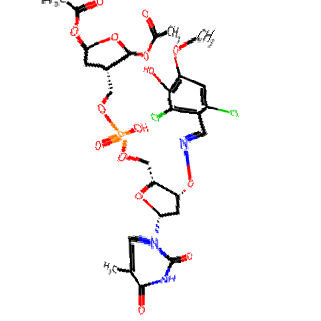 COc1cc(Cl)c(/C=N/O[C@@H]2C[C@H](n3cc(C)c(=O)[nH]c3=O)O[C@@H]2COP(=O)(O)OC[C@@H]2CC(OC(C)=O)OC2OC(C)=O)c(Cl)c1O